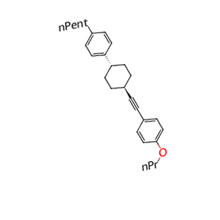 CCCCCc1ccc([C@H]2CC[C@H](C#Cc3ccc(OCCC)cc3)CC2)cc1